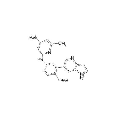 CNc1cc(C)nc(Nc2ccc(OC)c(-c3cnc4cc[nH]c4c3)c2)n1